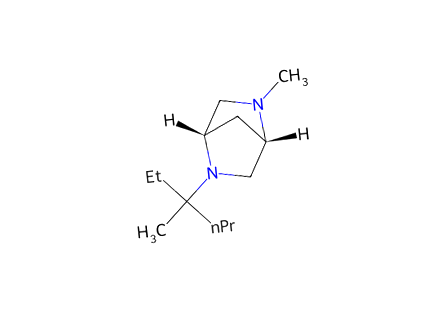 CCCC(C)(CC)N1C[C@@H]2C[C@H]1CN2C